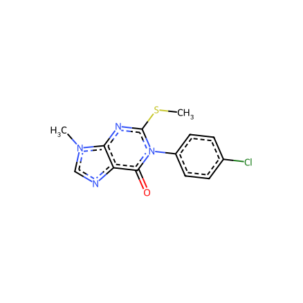 CSc1nc2c(ncn2C)c(=O)n1-c1ccc(Cl)cc1